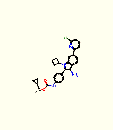 C[C@@H](OC(=O)Nc1ccc(-c2c(N)c3ccc(-c4cccc(Cl)n4)cc3n2C2CCC2)cc1)C1CC1